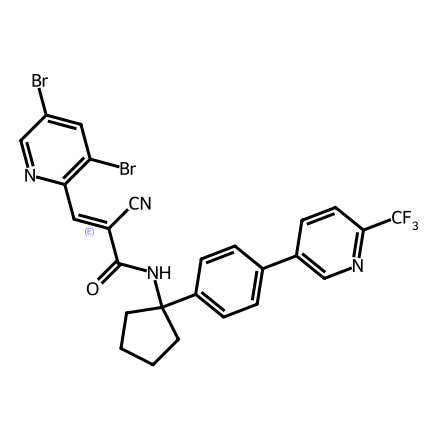 N#C/C(=C\c1ncc(Br)cc1Br)C(=O)NC1(c2ccc(-c3ccc(C(F)(F)F)nc3)cc2)CCCC1